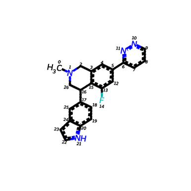 CN1Cc2cc(-c3cccnn3)cc(F)c2C(c2ccc3[nH]ccc3c2)C1